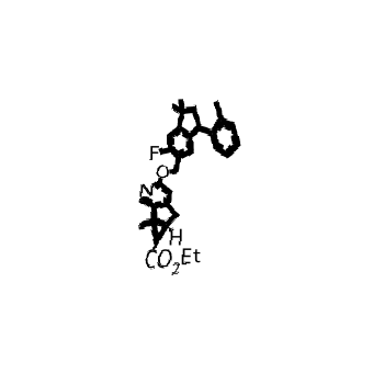 CCOC(=O)[C@H]1[C@@H]2Cc3cc(OCc4cc5c(cc4F)C(C)(C)CC5c4ccccc4C)ncc3C21C